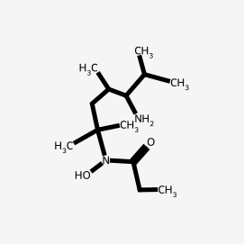 CCC(=O)N(O)C(C)(C)CC(C)C(N)C(C)C